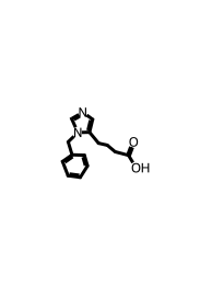 O=C(O)CCCc1cncn1Cc1ccccc1